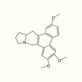 COc1ccc2c(c1)c1c(c3cc(OC)c(OC)cc32)CN2CCCC2C1